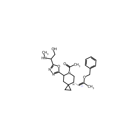 CNC(CO)c1nnc(C2CC3(CC3)[C@@H](/C=C(/C)OCc3ccccc3)CN2C(C)=O)o1